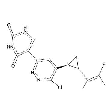 C/C(F)=C(\C)[C@H]1C[C@@H]1c1cc(-c2c[nH]c(=O)[nH]c2=O)nnc1Cl